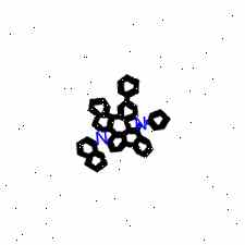 c1ccc(-c2cc3c4c5c6c(ccc7c6c6c-3c3ccccc3cc6n7-c3cccc6ccccc36)c3ccccc3c5n(-c3ccccc3)c4c2)cc1